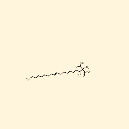 CCCCCCCCC=CCCCCCCC(C)C(C)(C(=O)O)C(=O)O